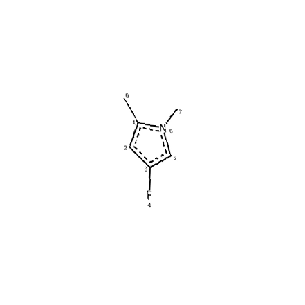 Cc1cc(F)cn1C